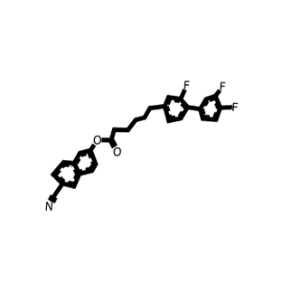 N#Cc1ccc2cc(OC(=O)CCCCCc3ccc(-c4ccc(F)c(F)c4)c(F)c3)ccc2c1